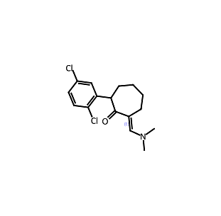 CN(C)/C=C1\CCCCC(c2cc(Cl)ccc2Cl)C1=O